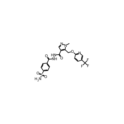 Cn1ncc(C(=O)NNC(=O)c2ccc(S(N)(=O)=O)cc2)c1COc1ccc(C(F)(F)F)cn1